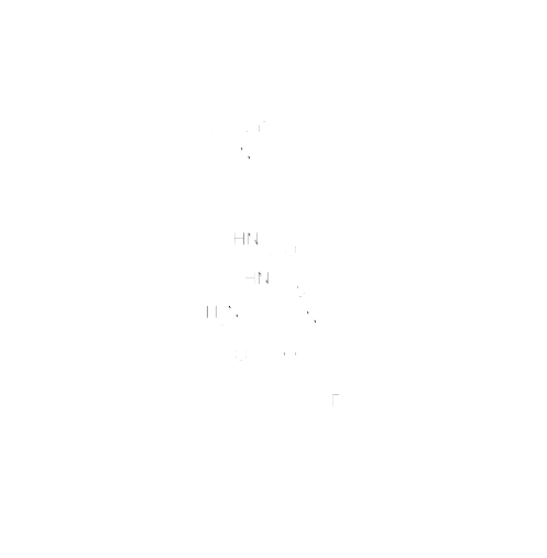 NC(=O)c1c(OCc2ccccc2CF)nsc1NC(=O)NCCCN1CCCC1=O